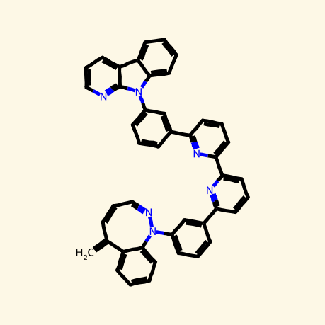 C=C1/C=C\C=N/N(c2cccc(-c3cccc(-c4cccc(-c5cccc(-n6c7ccccc7c7cccnc76)c5)n4)n3)c2)c2ccccc21